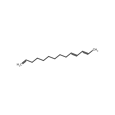 C=CCCCCCCCC=CC=CC